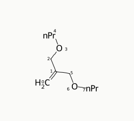 C=C(COCCC)COCCC